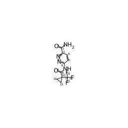 NC(=O)c1ccc(NC(=O)C2(C(F)(F)F)CC2)nn1